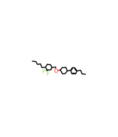 CCCCCC1CCC(COC2CCC(c3ccc(CCC)cc3)CC2)CC1(F)F